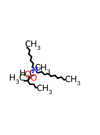 CCCCC(CC)C(=O)[O-].CCCCCCCCCC[N+](C)(C)CCCCCCCC